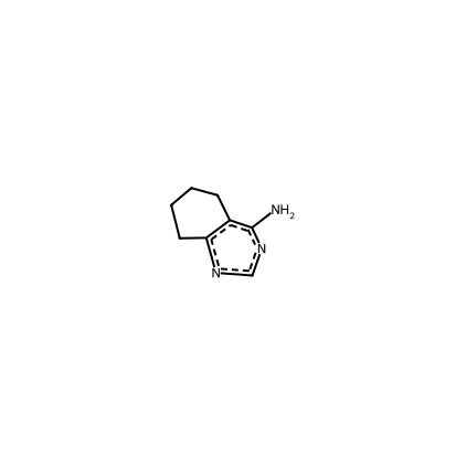 Nc1ncnc2c1CCCC2